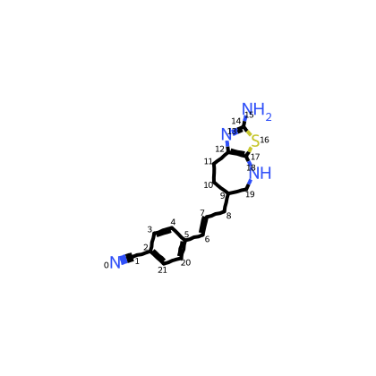 N#Cc1ccc(C=CCC2CCc3nc(N)sc3NC2)cc1